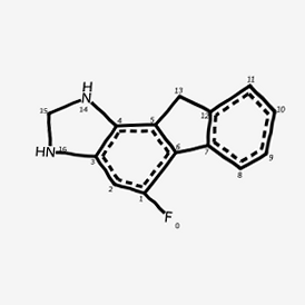 Fc1cc2c(c3c1-c1ccccc1C3)NCN2